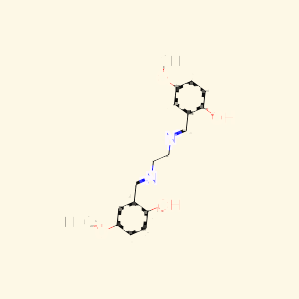 COc1ccc(O)c(/C=N/CC/N=C/c2cc(OC)ccc2O)c1